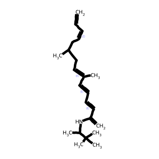 C=C/C=C\CC(C)C/C=C(C)/C=C/C=C/C(=C)NC(C)C(C)(C)C